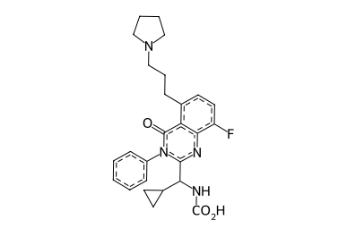 O=C(O)NC(c1nc2c(F)ccc(CCCN3CCCC3)c2c(=O)n1-c1ccccc1)C1CC1